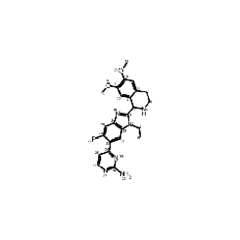 CCn1c(C2NCCc3cc(OC)c(OC)cc32)nc2cc(F)c(-c3ccnc(N)n3)cc21